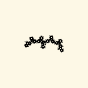 CC1(C)c2ccccc2-c2ccc(-n3c4ccccc4c4cc(-c5ccc6c(c5)c5ccccc5n6-c5ccc(-c6cc(-n7c8ccccc8c8cc(-c9ccc%10c(c9)c9ccccc9n%10-c9ccc%10c(c9)C(C)(C)c9ccccc9-%10)ccc87)nc(-c7ccccc7)n6)cc5)ccc43)cc21